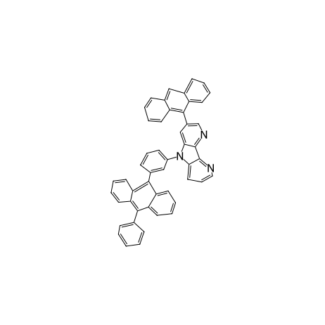 c1ccc(-c2c3ccccc3c(-c3cccc(-n4c5cccnc5c5ncc(-c6c7ccccc7cc7ccccc67)cc54)c3)c3ccccc23)cc1